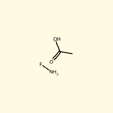 CC(=O)O.NF